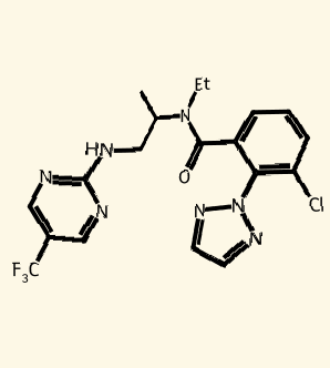 CCN(C(=O)c1cccc(Cl)c1-n1nccn1)C(C)CNc1ncc(C(F)(F)F)cn1